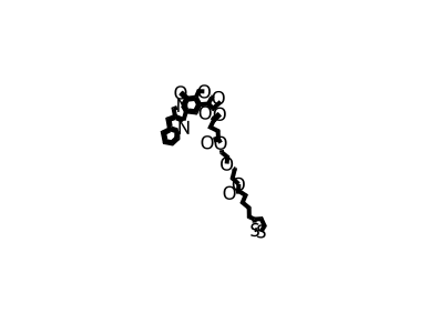 CCC1(OC(=O)CCC(=O)OCCOCCOC(=O)CCCCC2CCSS2)C(=O)OCc2c1cc1n(c2=O)Cc2cc3ccccc3nc2-1